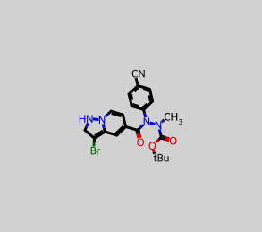 CN(C(=O)OC(C)(C)C)N(C(=O)C1=CC2=C(Br)CNN2C=C1)c1ccc(C#N)cc1